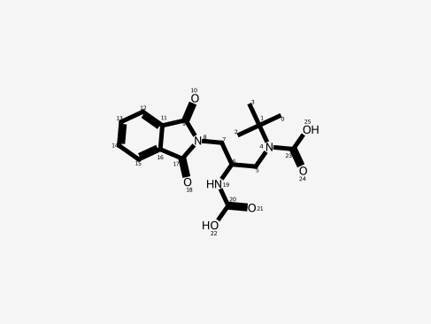 CC(C)(C)N(CC(CN1C(=O)c2ccccc2C1=O)NC(=O)O)C(=O)O